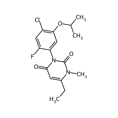 CCc1cc(=O)n(-c2cc(OC(C)C)c(Cl)cc2F)c(=O)n1C